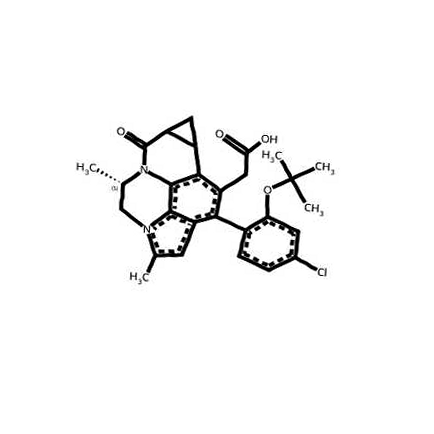 Cc1cc2c(-c3ccc(Cl)cc3OC(C)(C)C)c(CC(=O)O)c3c4c2n1C[C@H](C)N4C(=O)C1CC31